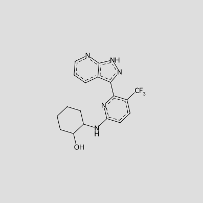 OC1CCCCC1Nc1ccc(C(F)(F)F)c(-c2n[nH]c3ncccc23)n1